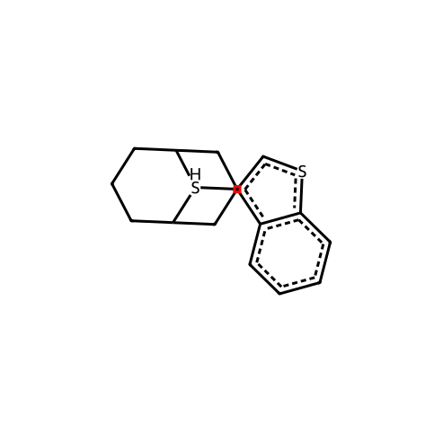 c1ccc2c([SH]3C4CCCC3CCC4)csc2c1